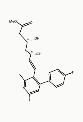 COC(=O)C[C@H](O)C[C@H](O)C=Cc1c(-c2ccc(F)cc2)cc(C)nc1C